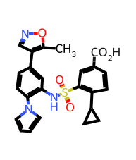 Cc1oncc1-c1ccc(-n2cccc2)c(NS(=O)(=O)c2cc(C(=O)O)ccc2C2CC2)c1